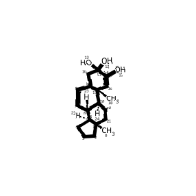 C[C@@]12CCC[C@H]1[C@@H]1C=CC3CC(O)(O)C(O)=C[C@]3(C)[C@H]1CC2